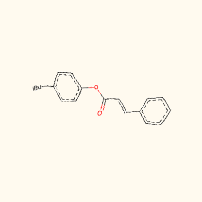 CCC(C)c1ccc(OC(=O)/C=C/c2ccccc2)cc1